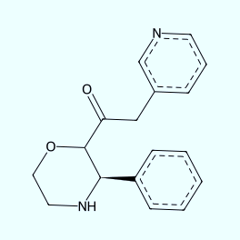 O=C(Cc1cccnc1)C1OCCN[C@@H]1c1ccccc1